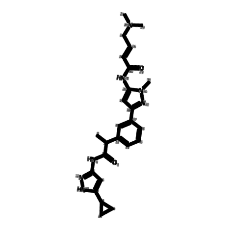 CC(C(=O)Nc1cc(C2CC2)[nH]n1)c1cccc(-c2cc(NC(=O)/C=C/CN(C)C)n(C)n2)c1